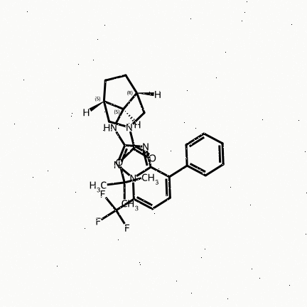 CC(C)(C)OC(=O)N1C[C@H]2CC[C@@H](C1)[C@@H]2Nc1nc2c(-c3ccccc3)ccc(C(F)(F)F)n2n1